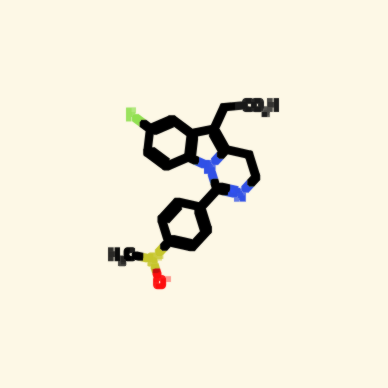 C[S+]([O-])c1ccc(C2=NCCc3c(CC(=O)O)c4cc(F)ccc4n32)cc1